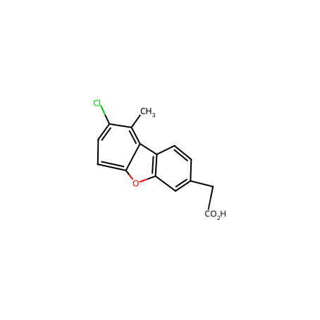 Cc1c(Cl)ccc2oc3cc(CC(=O)O)ccc3c12